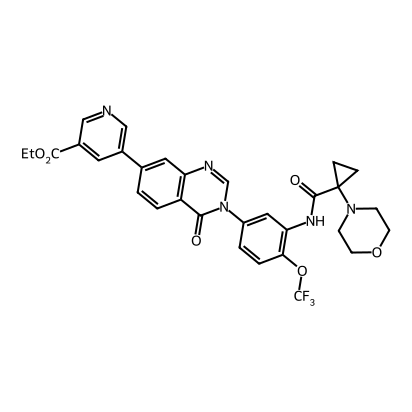 CCOC(=O)c1cncc(-c2ccc3c(=O)n(-c4ccc(OC(F)(F)F)c(NC(=O)C5(N6CCOCC6)CC5)c4)cnc3c2)c1